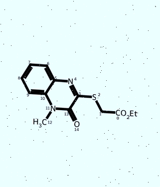 CCOC(=O)CSc1nc2ccccc2n(C)c1=O